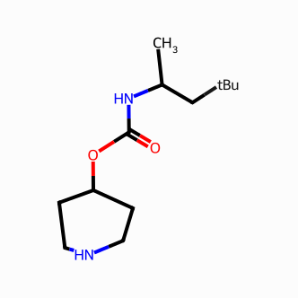 CC(CC(C)(C)C)NC(=O)OC1CCNCC1